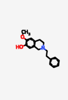 COc1cc2c(cc1O)CN(CCc1ccccc1)CC2